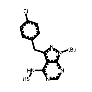 CC(C)(C)n1nc(Cc2ccc(Cl)cc2)c2c(NS)ncnc21